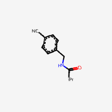 CC(C)C(=O)NCc1ccc(C#N)cc1